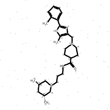 Cc1ccccc1-c1nc(CN2CCC(C(=O)NCCCN3C[C@H](C)C[C@@H](C)C3)CC2)c(C)o1